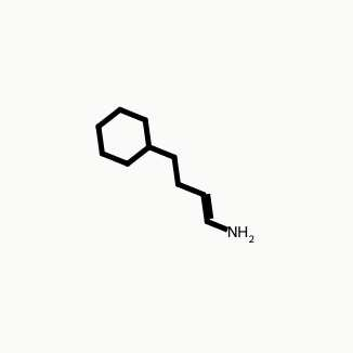 NC=CCCC1CCCCC1